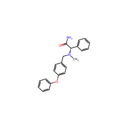 CN(Cc1ccc(Oc2ccccc2)cc1)[C@@H](C(N)=O)c1ccccc1